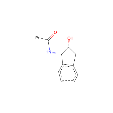 CC(C)C(=O)N[C@H]1c2ccccc2C[C@H]1O